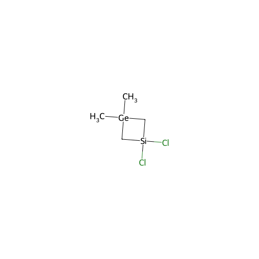 [CH3][Ge]1([CH3])[CH2][Si](Cl)(Cl)[CH2]1